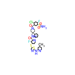 Cc1ccnc(Nc2ncc(Sc3ccnc(C(=O)NCC4(c5ccccc5)CCN(C(=O)c5cc(S(N)(=O)=O)c(F)cc5Cl)CC4)c3F)s2)c1